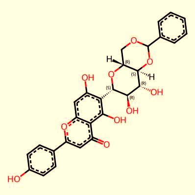 O=c1cc(-c2ccc(O)cc2)oc2cc(O)c([C@@H]3O[C@@H]4COC(c5ccccc5)O[C@H]4[C@H](O)[C@H]3O)c(O)c12